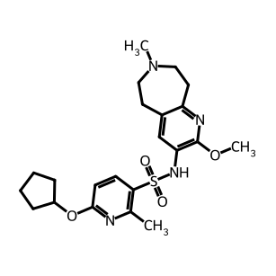 COc1nc2c(cc1NS(=O)(=O)c1ccc(OC3CCCC3)nc1C)CCN(C)CC2